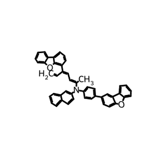 C=C/C(=C\C=C(/C)N(c1ccc(-c2ccc3oc4ccccc4c3c2)cc1)c1ccc2ccccc2c1)c1cccc2c1oc1ccccc12